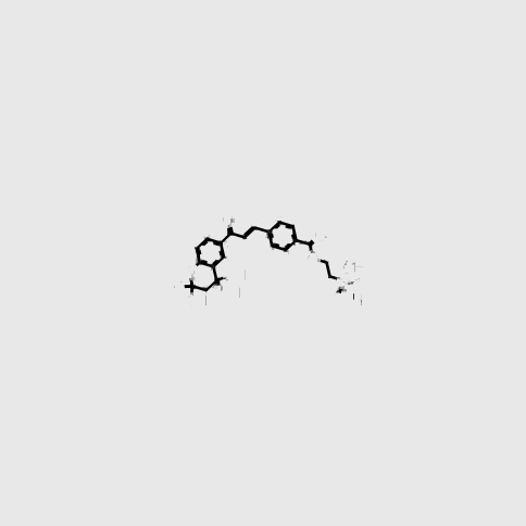 CC1(C)CC(C)(C)c2cc(C(=O)C=Cc3ccc(C(=O)OCC[Si](C)(C)C)cc3)ccc2O1